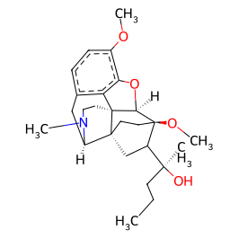 CCC[C@](C)(O)C1C[C@@]23CC[C@]1(OC)[C@@H]1Oc4c(OC)ccc5c4[C@@]12CCN(C)[C@@H]3C5